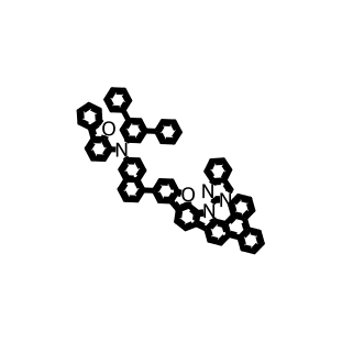 c1ccc(-c2cc(-c3ccccc3)cc(N(c3ccc4c(-c5ccc6oc7c(ccc8c9ccc%10c%11ccccc%11c%11ccccc%11c%10c9n(-c9ncc%10ccccc%10n9)c87)c6c5)cccc4c3)c3cccc4c3oc3ccccc34)c2)cc1